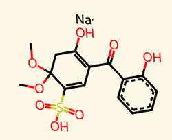 COC1(OC)CC(O)=C(C(=O)c2ccccc2O)C=C1S(=O)(=O)O.[Na]